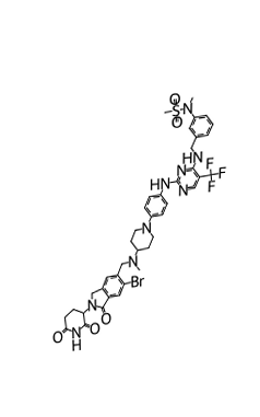 CN(Cc1cc2c(cc1Br)C(=O)N(C1CCC(=O)NC1=O)C2)C1CCN(c2ccc(Nc3ncc(C(F)(F)F)c(NCc4cccc(N(C)S(C)(=O)=O)c4)n3)cc2)CC1